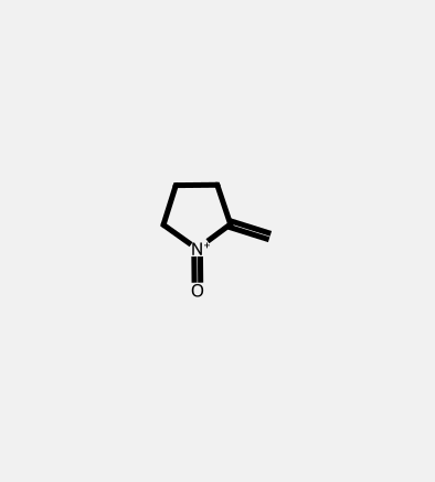 C=C1CCC[N+]1=O